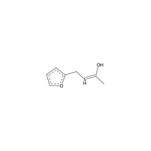 CC(O)=[SH]Cc1ccco1